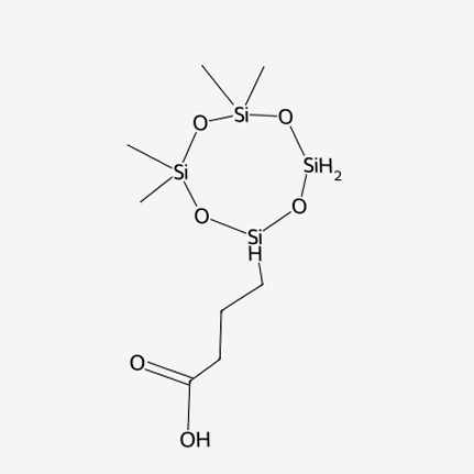 C[Si]1(C)O[SiH2]O[SiH](CCCC(=O)O)O[Si](C)(C)O1